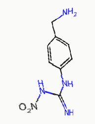 N=C(Nc1ccc(CN)cc1)N[N+](=O)[O-]